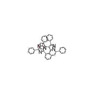 c1ccc(-c2nc(-c3ccccc3)nc(-c3cccc4cc(-c5ccccc5)n5nc(-c6ccccc6)c(-c6ccccc6)c5c34)n2)cc1